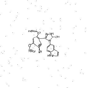 CCCCOc1cc(OCCCC)c(C(C)C)cc1C1=NNC(O)N1c1ccc2[nH]ccc2c1